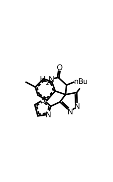 CCCCC(C(N)=O)C1(c2ccc(C)cc2)C(C)=NN=C1c1nccs1